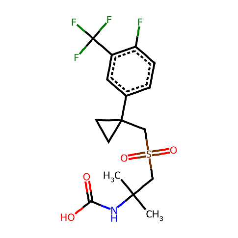 CC(C)(CS(=O)(=O)CC1(c2ccc(F)c(C(F)(F)F)c2)CC1)NC(=O)O